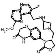 COc1ccc2ncc(F)c(CNC3CN(C[C@H]4COC(=O)N4c4ccc5c(c4)NC(=O)CO5)C3)c2n1